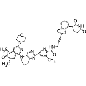 Cc1cc(-c2ncc3c(n2)CCCN3c2nc(N3CCOCC3)cc3c2cc(C)c(=O)n3C)cnc1C(=O)NCC#Cc1cc2c(C3CCC(=O)NC3=O)cccc2o1